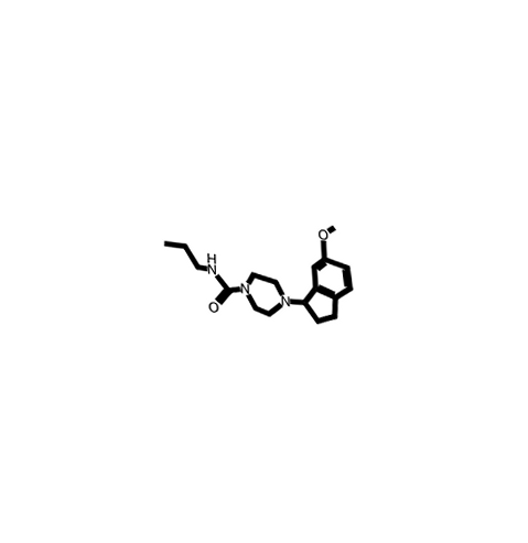 CCCNC(=O)N1CCN(C2CCc3ccc(OC)cc32)CC1